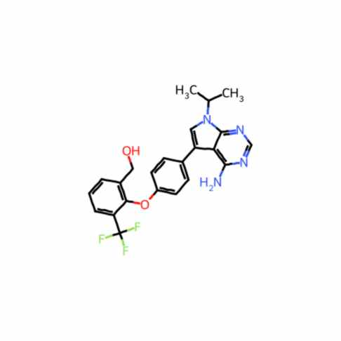 CC(C)n1cc(-c2ccc(Oc3c(CO)cccc3C(F)(F)F)cc2)c2c(N)ncnc21